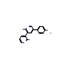 Nc1ncc(-c2ccc([SH](=O)=O)cc2)cc1-c1cccnc1O